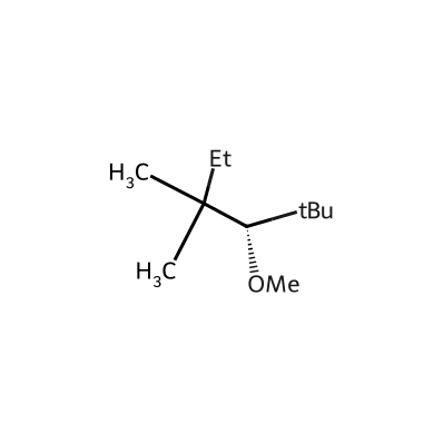 CCC(C)(C)[C@@H](OC)C(C)(C)C